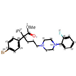 COC(=O)C(CCCN1CCN(c2ccccc2F)CC1)(c1ccc(Br)cc1)C(C)C